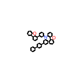 c1ccc(-c2ccc(-c3cccc(N(c4cccc(-c5cccc6c5oc5ccccc56)c4)c4cccc5oc6ccccc6c45)c3)cc2)cc1